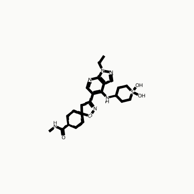 CCn1ncc2c(NC3CCS(O)(O)CC3)c(C3=NOC4(CCC(C(=O)NC)CC4)C3)cnc21